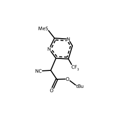 CSc1ncc(C(F)(F)F)c(C(C#N)C(=O)OC(C)(C)C)n1